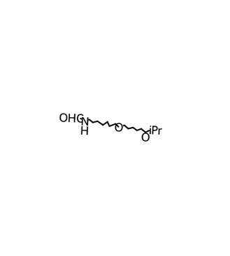 CC(C)C(=O)CCCCCOCCCCCCCNC=O